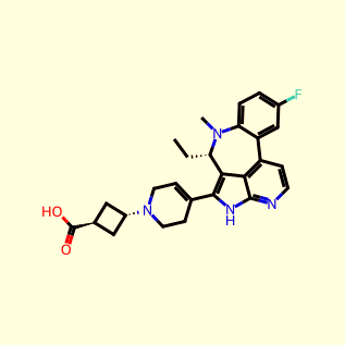 CC[C@H]1c2c(C3=CCN([C@H]4C[C@H](C(=O)O)C4)CC3)[nH]c3nccc(c23)-c2cc(F)ccc2N1C